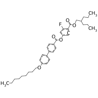 CCCCCCCCCOc1ccc(-c2ccc(C(=O)Oc3ccc(C(=O)OCC(CCC)CCC)c(F)c3)cc2)cc1